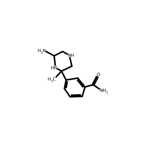 CC1(c2cccc(C(N)=O)c2)CNCC(N)N1